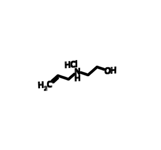 C=CCNCCO.Cl